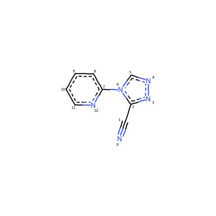 N#Cc1nncn1-c1ccccn1